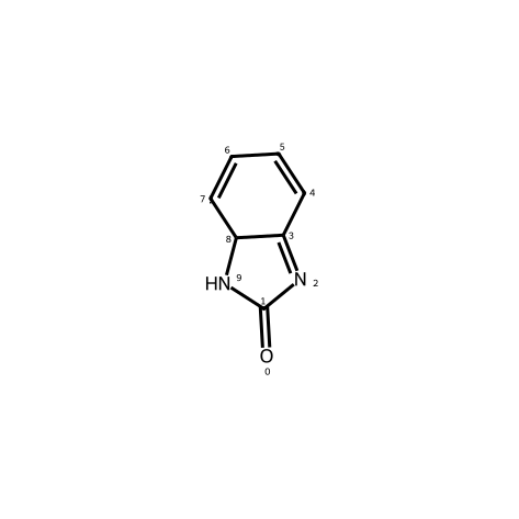 O=C1N=C2C=CC=[C]C2N1